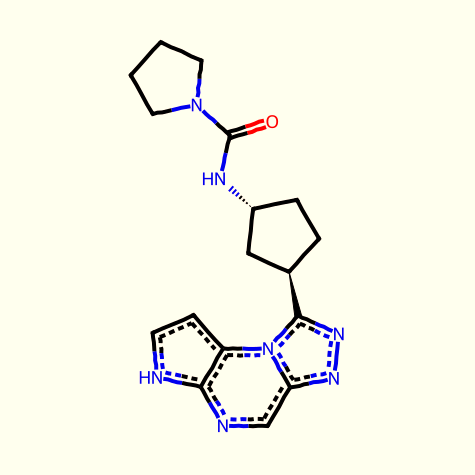 O=C(N[C@@H]1CC[C@@H](c2nnc3cnc4[nH]ccc4n23)C1)N1CCCC1